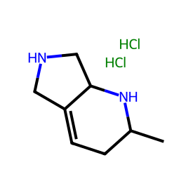 CC1CC=C2CNCC2N1.Cl.Cl